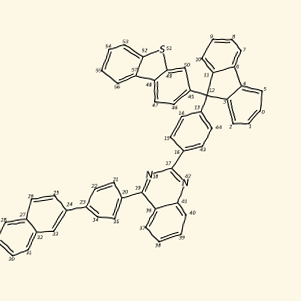 c1ccc2c(c1)-c1ccccc1C2(c1ccc(-c2nc(-c3ccc(-c4ccc5ccccc5c4)cc3)c3ccccc3n2)cc1)c1ccc2c(c1)sc1ccccc12